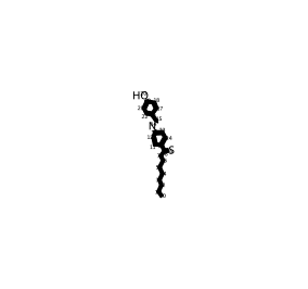 CCCCCCCCC(=S)c1ccc(N=Cc2ccc(O)cc2)cc1